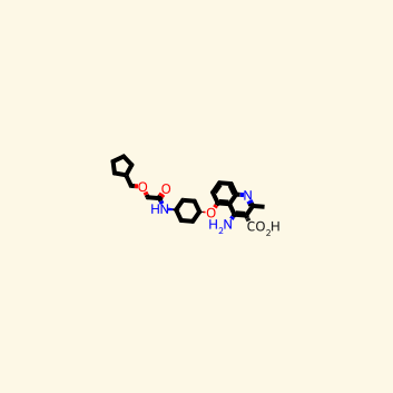 Cc1nc2cccc(O[C@H]3CC[C@H](NC(=O)COCC4CCCC4)CC3)c2c(N)c1C(=O)O